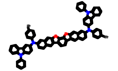 CC(C)c1ccc(N(c2ccc3cc4c(cc3c2)oc2c4ccc3c4cc5ccc(N(c6ccc(C(C)C)cc6)c6ccc7c(c6)c6ccccc6n7-c6ccccc6)cc5cc4oc32)c2ccc3c(c2)c2ccccc2n3-c2ccccc2)cc1